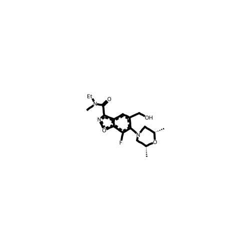 CCN(C)C(=O)c1noc2c(F)c(N3C[C@@H](C)O[C@@H](C)C3)c(CO)cc12